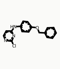 Clc1nccc(Nc2ccc(OCc3ccccc3)cc2)n1